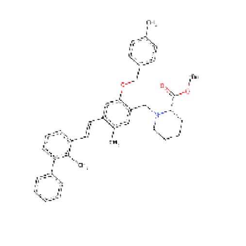 Cc1ccc(COc2cc(/C=C/c3cccc(-c4ccccc4)c3C)c(C)cc2CN2CCCC[C@H]2C(=O)OC(C)(C)C)cc1